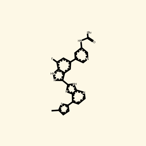 Cc1ccc(-c2ccnc3[nH]c(-c4n[nH]c5c(F)cc(-c6cncc(NC(=O)C(C)(C)C)c6)cc45)nc23)s1